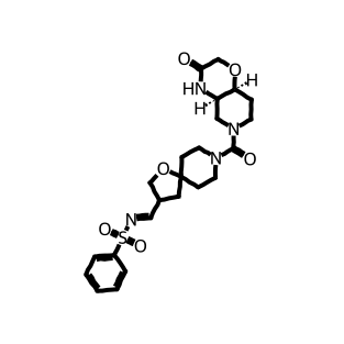 O=C1CO[C@H]2CCN(C(=O)N3CCC4(CC3)CC(/C=N/S(=O)(=O)c3ccccc3)CO4)C[C@H]2N1